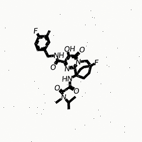 Cc1cc(CNC(=O)c2nc3n(c(=O)c2O)CC2(F)CCC3(NC(=O)C(=O)N(C)C(C)C)CC2)ccc1F